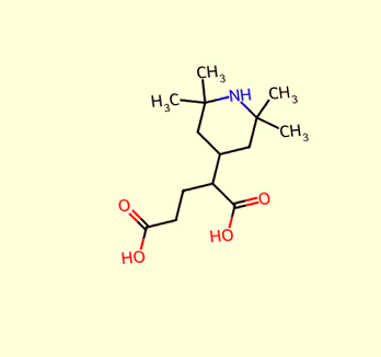 CC1(C)CC(C(CCC(=O)O)C(=O)O)CC(C)(C)N1